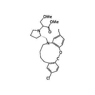 COCC(C(=O)OC)N1CCC[C@H]1CN1CCCCc2cc(Cl)ccc2COc2ccc(I)cc21